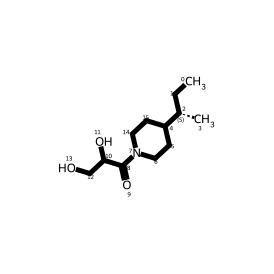 CC[C@H](C)C1CCN(C(=O)C(O)CO)CC1